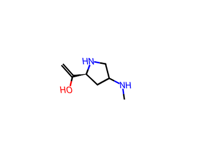 C=C(O)[C@@H]1CC(NC)CN1